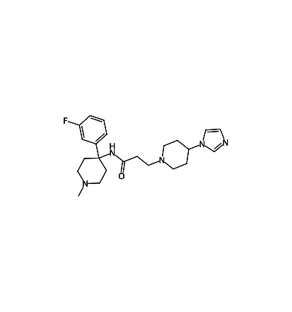 CN1CCC(NC(=O)CCN2CCC(n3ccnc3)CC2)(c2cccc(F)c2)CC1